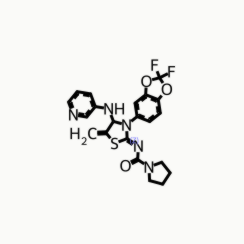 C=C1S/C(=N\C(=O)N2CCCC2)N(c2ccc3c(c2)OC(F)(F)O3)C1Nc1cccnc1